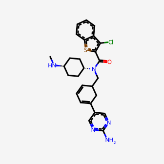 CN[C@H]1CC[C@H](N(CC2C=CC=C(c3cnc(N)nc3)C2)C(=O)c2sc3ccccc3c2Cl)CC1